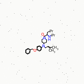 CC(C)=CCN(c1ccc(OCc2ccccc2)cc1)C1CCN(C(=O)C(CC(C)C)NC(C)C)CC1